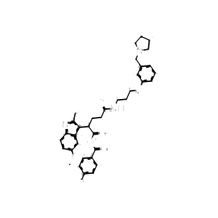 COc1ccc2[nH]c(C)c(C(CCC(=O)NCCCOc3cccc(CN4CCCC4)c3)C(=O)OC(=O)c3ccc(Cl)cc3)c2c1